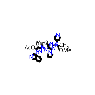 COCC(C)N(c1ccncc1)c1nc(OC)c(N=Nc2nn(-c3cncc4ccccc34)c(OC(C)=O)c2C#N)c(N2CCCC2)n1